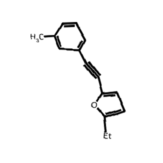 CCc1ccc(C#Cc2cccc(C)c2)o1